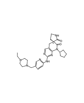 CCN1CCN(Cc2ccc(Nc3ncc4c(n3)N(C3CCCC3)C(=O)[C@]3(CCNC3=O)C4)nc2)CC1